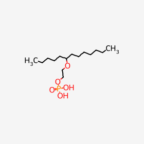 CCCCCCCC(CCCCC)OCCOP(=O)(O)O